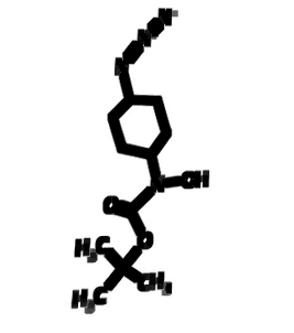 CC(C)(C)OC(=O)N(O)C1CCC(N=[N+]=[N-])CC1